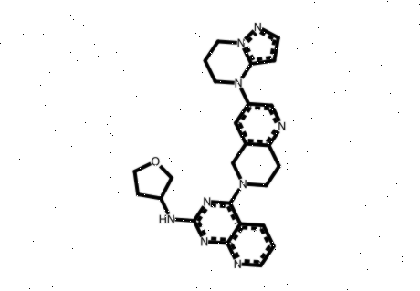 c1cnc2nc(NC3CCOC3)nc(N3CCc4ncc(N5CCCn6nccc65)cc4C3)c2c1